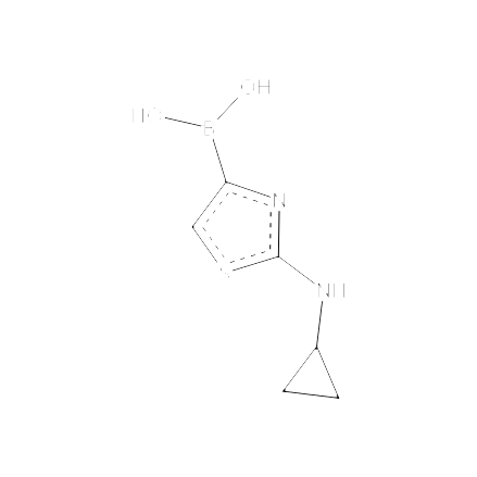 OB(O)c1csc(NC2CC2)n1